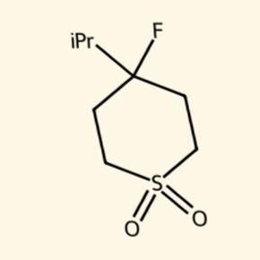 CC(C)C1(F)CCS(=O)(=O)CC1